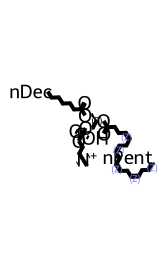 CCCCC/C=C\C/C=C\C/C=C\C/C=C\C/C=C\CCC(=O)O[C@H](COC(=O)CCCCCCCCCCCCCCC)COP(=O)(O)OCC[N+](C)(C)C